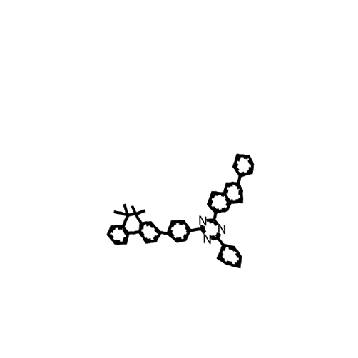 CC1(C)c2ccccc2-c2ccc(-c3ccc(-c4nc(-c5ccccc5)nc(-c5ccc6cc(-c7ccccc7)ccc6c5)n4)cc3)cc2C1(C)C